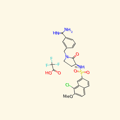 COc1ccc2ccc(S(=O)(=O)N[C@H]3CCN(Cc4cccc(C(=N)N)c4)C3=O)cc2c1Cl.O=C(O)C(F)(F)F